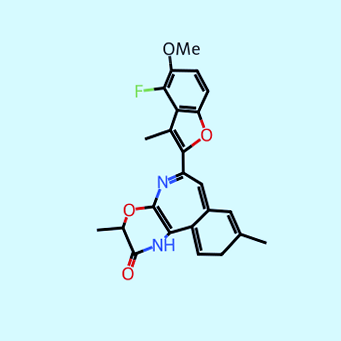 COc1ccc2oc(C3=NC4=C(NC(=O)C(C)O4)C4=CCC(C)=CC4=C3)c(C)c2c1F